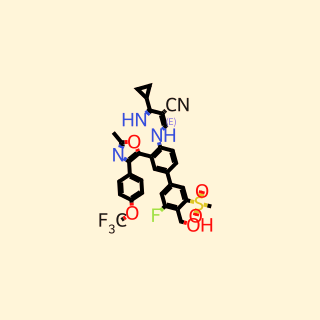 Cc1nc(-c2ccc(OC(F)(F)F)cc2)c(-c2cc(-c3cc(F)c(CO)c(S(C)(=O)=O)c3)ccc2N/C=C(/C#N)C(=N)C2CC2)o1